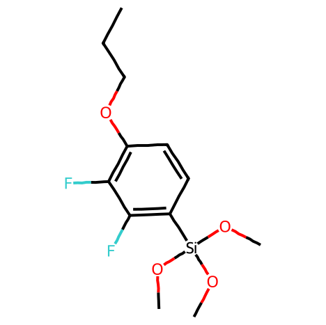 CCCOc1ccc([Si](OC)(OC)OC)c(F)c1F